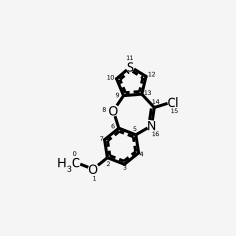 COc1ccc2c(c1)Oc1cscc1C(Cl)=N2